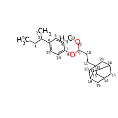 CCC(C)c1ccc(OC(CCC23CC4CC(CC(C4)C2)C3)OC)cc1